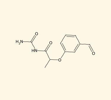 CC(Oc1cccc(C=O)c1)C(=O)NC(N)=O